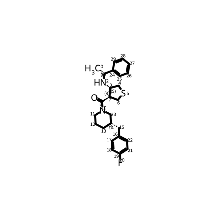 C[C@@H](N[C@@H]1CSC[C@H]1C(=O)N1CCC[C@@H](Cc2ccc(F)cc2)C1)c1ccccc1